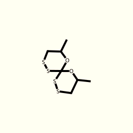 CC1CSSC2(O1)OC(C)CSS2